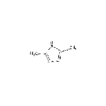 C[C]1=[C]C=[C](C)[BiH]1